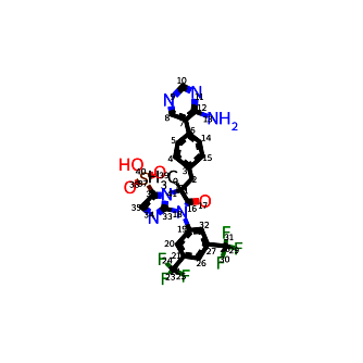 C[C@@]1(Cc2ccc(-c3cncnc3N)cc2)C(=O)N(c2cc(C(F)(F)F)cc(C(F)(F)F)c2)c2ncc(S(=O)(=O)O)n21